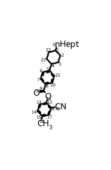 CCCCCCCC1CCC(c2ccc(C(=O)Oc3ccc(C)cc3C#N)cc2)CC1